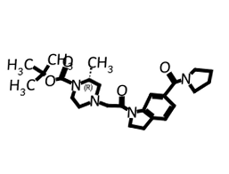 C[C@@H]1CN(CC(=O)N2CCc3ccc(C(=O)N4CCCC4)cc32)CCN1C(=O)OC(C)(C)C